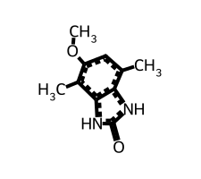 COc1cc(C)c2[nH]c(=O)[nH]c2c1C